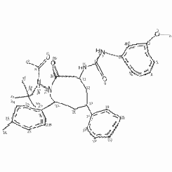 COc1cccc(NC(=O)NC2CC(c3ccccc3)CC(c3ccc(C)cc3)N(N(C(C)=O)C(C)(C)C)C2=O)c1